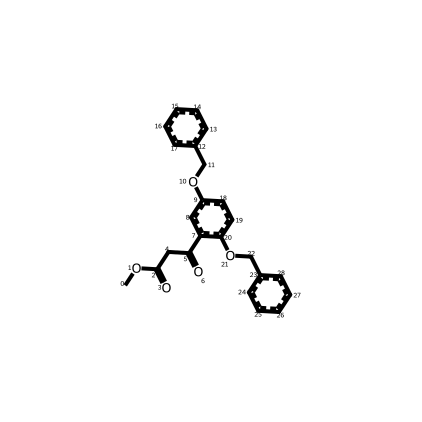 COC(=O)CC(=O)c1cc(OCc2ccccc2)ccc1OCc1ccccc1